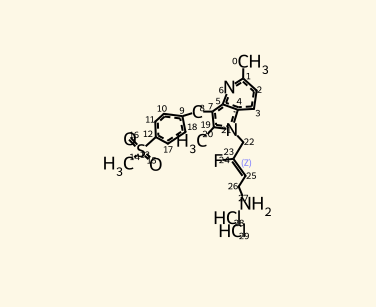 Cc1ccc2c(n1)c(Cc1ccc(S(C)(=O)=O)cc1)c(C)n2C/C(F)=C/CN.Cl.Cl